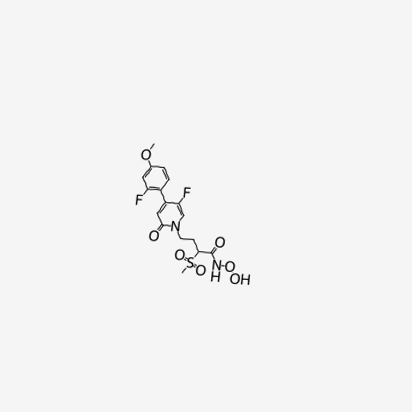 COc1ccc(-c2cc(=O)n(CCC(C(=O)NOO)S(C)(=O)=O)cc2F)c(F)c1